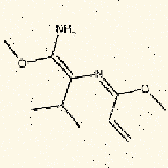 C=C/C(=N\C(=C(/N)OC)C(C)C)OC